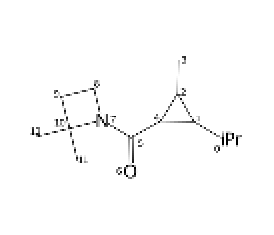 CC(C)C1C(C)C1C(=O)N1CCC1(C)C